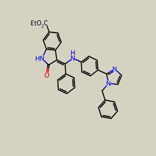 CCOC(=O)c1ccc2c(c1)NC(=O)C2=C(Nc1ccc(-c2nccn2Cc2ccccc2)cc1)c1ccccc1